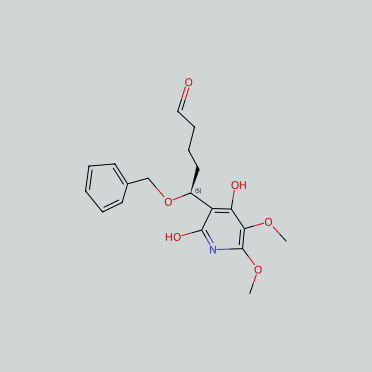 COc1nc(O)c([C@H](CCCC=O)OCc2ccccc2)c(O)c1OC